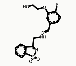 O=S1(=O)N=C(CN/N=C/c2ccc(F)c(OCCO)c2)c2ccccc21